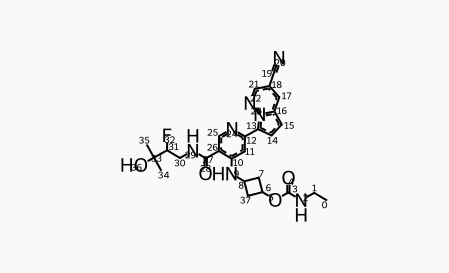 CCNC(=O)OC1CC(Nc2cc(-c3ccc4cc(C#N)cnn34)ncc2C(=O)NCC(F)C(C)(C)O)C1